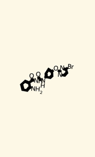 Nc1ccccc1C(=O)NC(=O)Nc1ccc(Oc2nccc(Br)n2)cc1